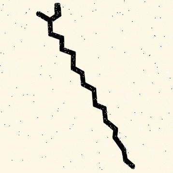 CCCCCCCCCCCCCCCCC(C)C=O